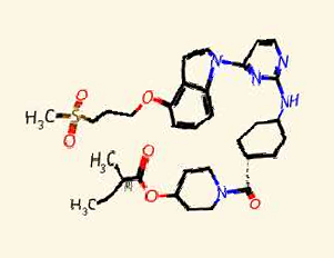 CC[C@@H](C)C(=O)OC1CCN(C(=O)[C@H]2CC[C@H](Nc3nccc(-n4ccc5c(OCCCS(C)(=O)=O)cccc54)n3)CC2)CC1